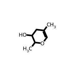 CC1=COC(C)C(O)C1